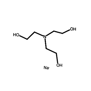 OCCN(CCO)CCO.[Na]